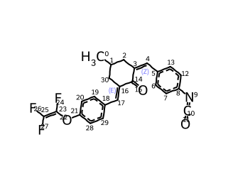 CC1C/C(=C/c2ccc(N=C=O)cc2)C(=O)/C(=C/c2ccc(OC(F)=C(F)F)cc2)C1